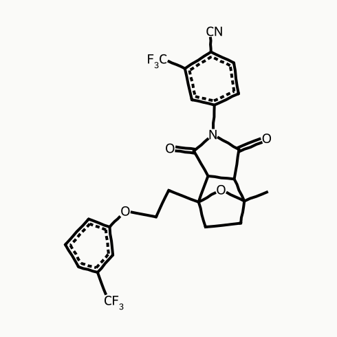 CC12CCC(CCOc3cccc(C(F)(F)F)c3)(O1)C1C(=O)N(c3ccc(C#N)c(C(F)(F)F)c3)C(=O)C12